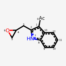 CC(=O)c1c(CC2CO2)[nH]c2ccccc12